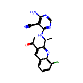 CC(=O)c1cc2cccc(Cl)c2nc1[C@H](C)Nc1ncnc(N)c1C#N